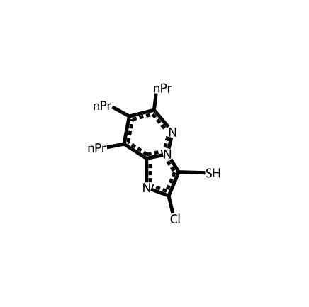 CCCc1nn2c(S)c(Cl)nc2c(CCC)c1CCC